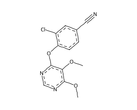 COc1ncnc(Oc2ccc(C#N)cc2Cl)c1OC